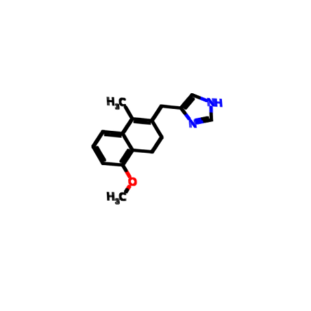 COc1cccc2c1CCC(Cc1c[nH]cn1)=C2C